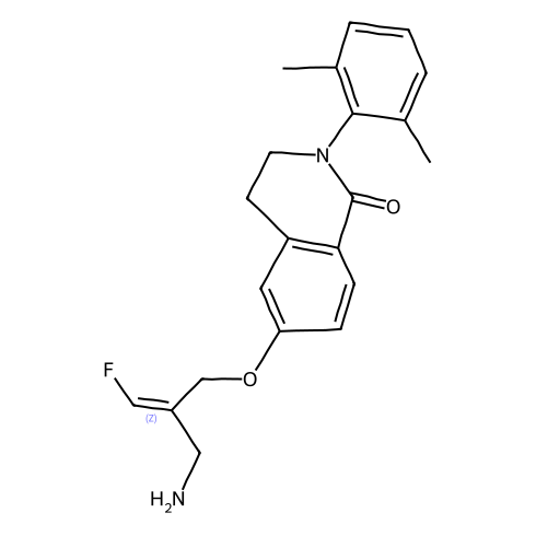 Cc1cccc(C)c1N1CCc2cc(OC/C(=C\F)CN)ccc2C1=O